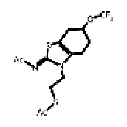 CC(=O)/N=c1\sc2c(n1CCSC(C)=O)CCC(OC(F)(F)F)C2